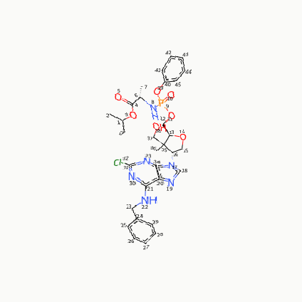 CC(C)OC(=O)[C@H](C)NP(=O)(OC[C@H]1OC[C@H](n2cnc3c(NCc4ccccc4)nc(Cl)nc32)C1(C)CO)Oc1ccccc1